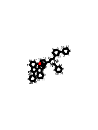 c1ccc(-c2cccc(-c3cc(-c4ccc(-c5cccc6c5C5(c7ccccc7-c7ccccc75)c5c-6sc6ccccc56)cc4)nc(-c4ccccc4)n3)c2)cc1